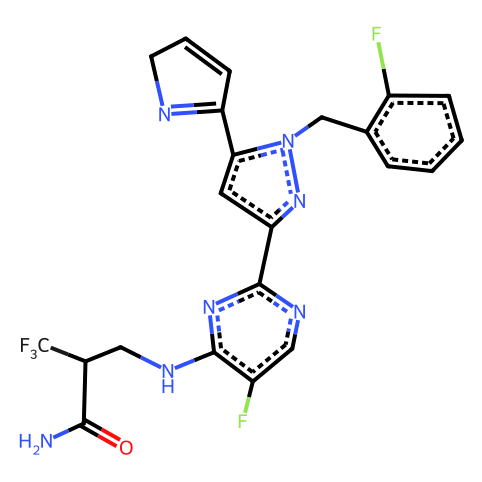 NC(=O)C(CNc1nc(-c2cc(C3=NCC=C3)n(Cc3ccccc3F)n2)ncc1F)C(F)(F)F